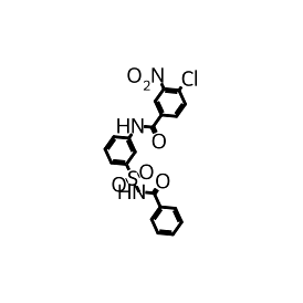 O=C(Nc1cccc(S(=O)(=O)NC(=O)c2ccccc2)c1)c1ccc(Cl)c([N+](=O)[O-])c1